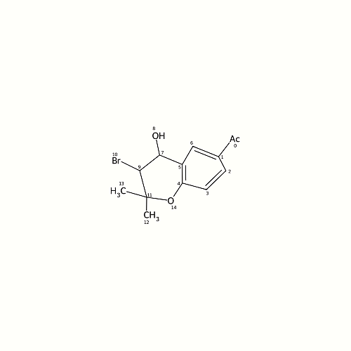 CC(=O)c1ccc2c(c1)C(O)C(Br)C(C)(C)O2